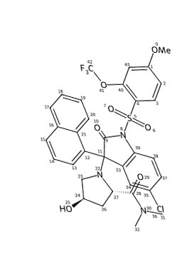 COc1ccc(S(=O)(=O)N2C(=O)C(c3cccc4ccccc34)(N3C[C@H](O)C[C@H]3C(=O)N(C)C)c3cc(Cl)ccc32)c(OC(F)(F)F)c1